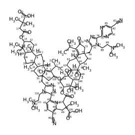 CC(C)C1=C2[C@H]3CC[C@@H]4[C@@]5(C)CC[C@H](OC(=O)CC(C)(C)C(=O)O)C(C)(C)[C@@H]5CC[C@@]4(C)[C@]3(C)CC[C@@]2(Cc2nnc(-c3ccc(C#N)c(CC(C)(CC(=O)O[C@H]4CC[C@]5(C)[C@H]6CC[C@@H]7C8=C(C(C)C)C(=O)C[C@]8(Cc8nnc(-c9ncc(C#N)cn9)n8CCN(C)C)CC[C@@]7(C)[C@]6(C)CC[C@H]5C4(C)C)C(=O)O)n3)n2CCN(C)C)CC1=O